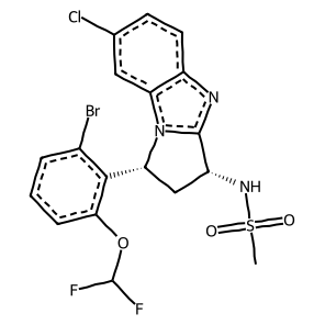 CS(=O)(=O)N[C@@H]1C[C@H](c2c(Br)cccc2OC(F)F)n2c1nc1ccc(Cl)cc12